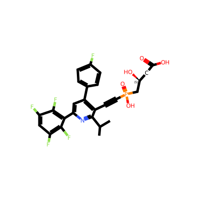 CC(C)c1nc(-c2c(F)c(F)cc(F)c2F)cc(-c2ccc(F)cc2)c1C#CP(=O)(O)C[C@@H](O)CC(=O)O